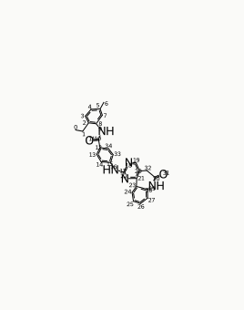 CCc1ccc(C)cc1NC(=O)c1ccc(Nc2ncc3c(n2)-c2ccccc2NC(=O)C3)cc1